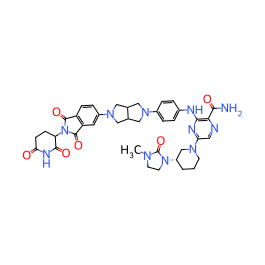 CN1CCN([C@H]2CCCN(c3cnc(C(N)=O)c(Nc4ccc(N5CC6CN(c7ccc8c(c7)C(=O)N(C7CCC(=O)NC7=O)C8=O)CC6C5)cc4)n3)C2)C1=O